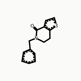 O=C1c2ccsc2CCN1Cc1ccccc1